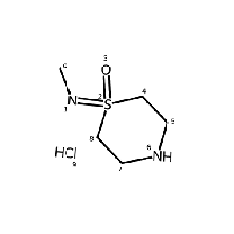 CN=S1(=O)CCNCC1.Cl